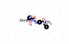 COc1ccnc(C(=O)Nc2nc3ccc(C(=O)N(C)Cc4ccccc4)cc3s2)c1O